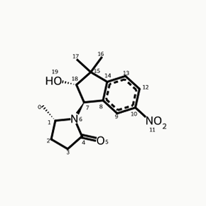 C[C@H]1CCC(=O)N1[C@@H]1c2cc([N+](=O)[O-])ccc2C(C)(C)[C@H]1O